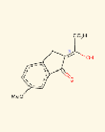 COc1ccc2c(c1)C(=O)/C(=C(\O)C(=O)O)C2